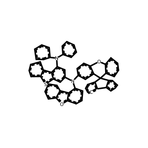 c1ccc(N(c2ccccc2)c2cc(N(c3ccc4c(c3)C3(c5ccccc5O4)c4ccccc4-c4ccccc43)c3cccc4oc5ccccc5c34)cc3sc4ccccc4c23)cc1